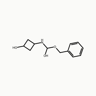 OC1CC(NC(O)OCc2ccccc2)C1